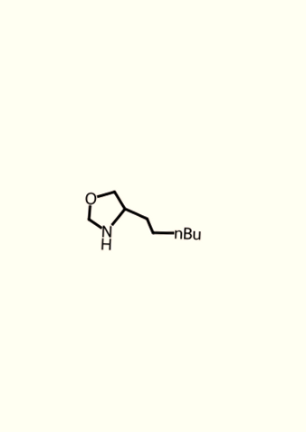 CCCCCCC1COCN1